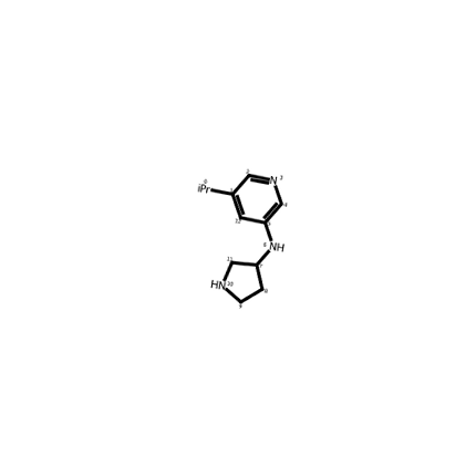 CC(C)c1cncc(NC2CCNC2)c1